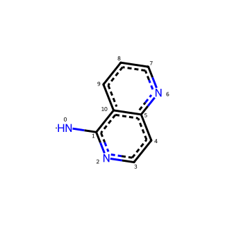 [NH]c1nccc2ncccc12